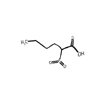 CCCCC(C(=O)O)P(=O)=O